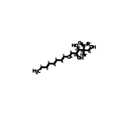 CCCCCCCCOCC(O)C(O)C(Br)(CO)[N+](=O)[O-]